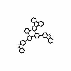 c1ccc2c(c1)-c1cc(-c3ccc4sc5ccccc5c4c3)ccc1-c1ccc(-c3ccc4sc5ccccc5c4c3)cc1-c1cc3c4ccccc4c4ccccc4c3cc1-2